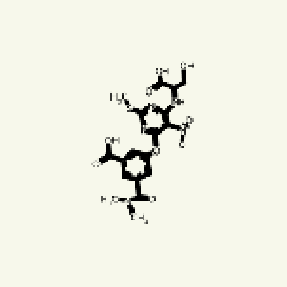 CSc1nc(NC(CO)C(=O)O)c([N+](=O)[O-])c(Oc2cc(C(=O)O)cc(C(=O)N(C)C)c2)n1